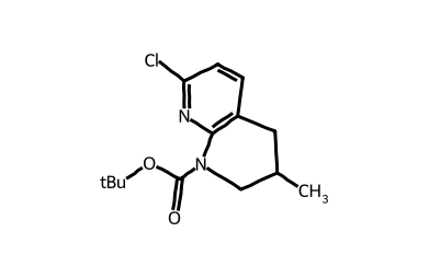 CC1Cc2ccc(Cl)nc2N(C(=O)OC(C)(C)C)C1